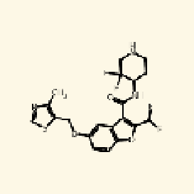 Cc1ncsc1COc1ccc2oc(C(F)F)c(C(=O)NC3CCNCC3(F)F)c2c1